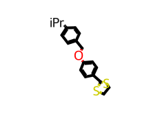 CC(C)c1ccc(COc2ccc(C3SCCS3)cc2)cc1